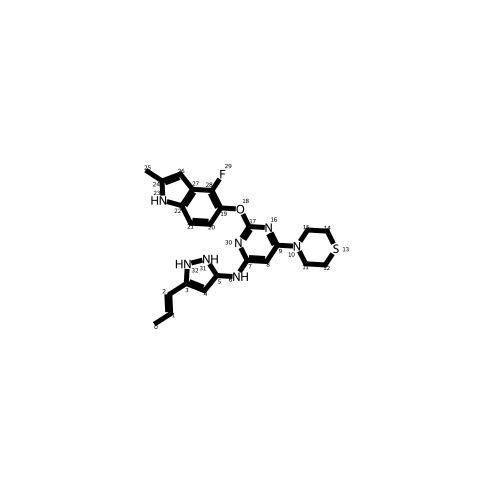 C/C=C/C1=CC(Nc2cc(N3CCSCC3)nc(Oc3ccc4[nH]c(C)cc4c3F)n2)NN1